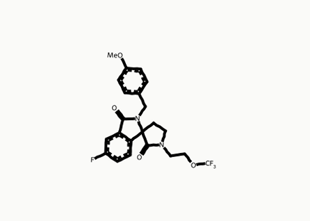 COc1ccc(CN2C(=O)c3cc(F)ccc3C23CCN(CCOC(F)(F)F)C3=O)cc1